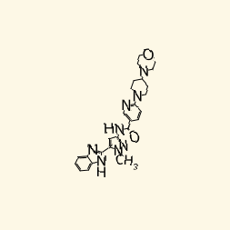 Cn1nc(NC(=O)c2ccc(N3CCC(N4CCOCC4)CC3)nc2)cc1-c1nc2ccccc2[nH]1